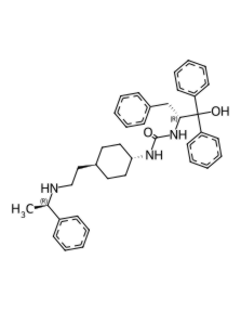 C[C@@H](NCC[C@H]1CC[C@H](NC(=O)N[C@H](Cc2ccccc2)C(O)(c2ccccc2)c2ccccc2)CC1)c1ccccc1